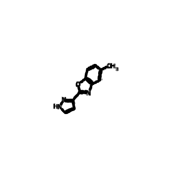 Cc1[c]c2nc(-c3cc[nH]n3)oc2cc1